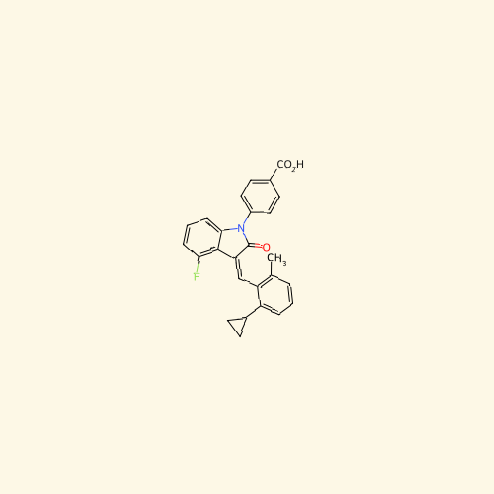 Cc1cccc(C2CC2)c1/C=C1\C(=O)N(c2ccc(C(=O)O)cc2)c2cccc(F)c21